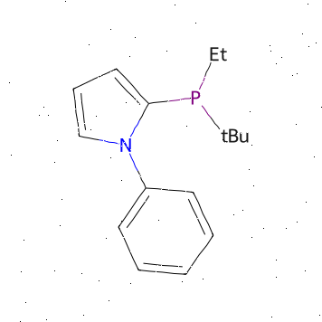 CCP(c1cccn1-c1ccccc1)C(C)(C)C